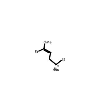 CCCC[C@@H](CC)C[C]=C(CC)OC